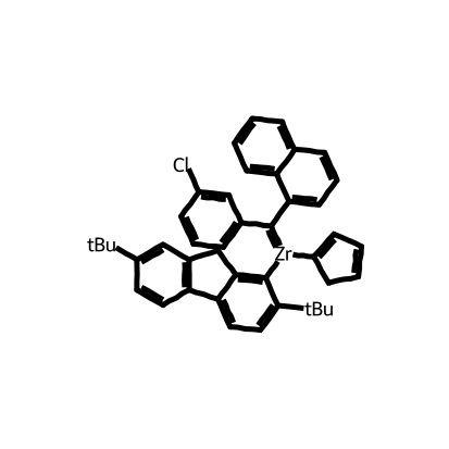 CC(C)(C)c1ccc2c(c1)Cc1c-2ccc(C(C)(C)C)[c]1/[Zr]([C]1=CC=CC1)=[C](\c1cccc(Cl)c1)c1cccc2ccccc12